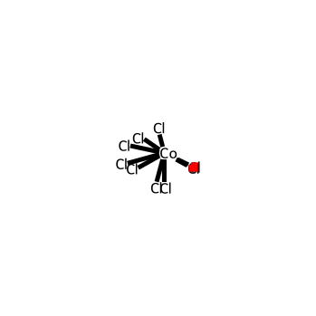 [Cl][Co]([Cl])([Cl])([Cl])([Cl])([Cl])([Cl])([Cl])[Cl]